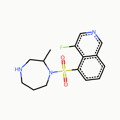 CC1CNCCCN1S(=O)(=O)c1cccc2cncc(F)c12